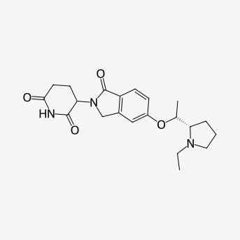 CCN1CCC[C@H]1C(C)Oc1ccc2c(c1)CN(C1CCC(=O)NC1=O)C2=O